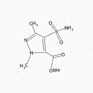 COC(=O)c1c(S(N)(=O)=O)c(C)nn1C